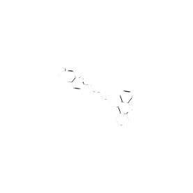 O/N=C\c1nc(CCCCCSc2c3c(nc4ccccc24)CCCC3)ccc1O